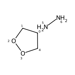 C1COOC1.NN